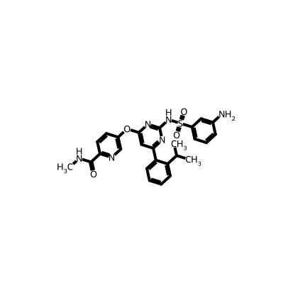 CNC(=O)c1ccc(Oc2cc(-c3ccccc3C(C)C)nc(NS(=O)(=O)c3cccc(N)c3)n2)cn1